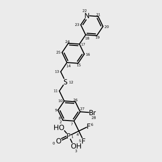 O=P(O)(O)C(F)(F)c1ccc(CSCc2ccc(-c3cccnc3)cc2)cc1Br